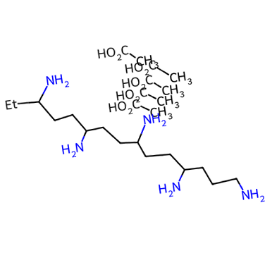 CC(=O)O.CC(=O)O.CC(=O)O.CC(=O)O.CC(=O)O.CCC(N)CCC(N)CCC(N)CCC(N)CCCN